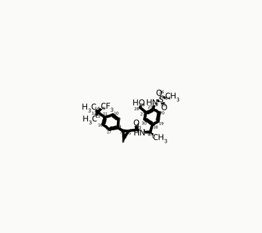 C[C@@H](NC(=O)C1CC1c1ccc(C(C)(C)C(F)(F)F)cc1)c1ccc(NS(C)(=O)=O)c(CO)c1